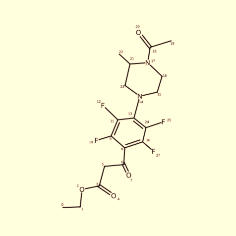 CCOC(=O)CC(=O)c1c(F)c(F)c(N2CCN(C(C)=O)C(C)C2)c(F)c1F